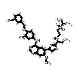 CCC(NCCS(=O)(=O)C(C)C)c1nc(-c2cc3c(Nc4ccc(OCc5cccc(F)c5)c(Cl)c4)ncnc3cc2OC)cs1